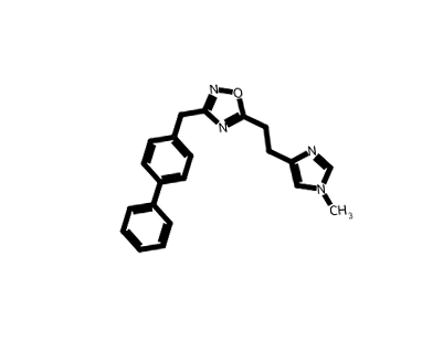 Cn1cnc(CCc2nc(Cc3ccc(-c4ccccc4)cc3)no2)c1